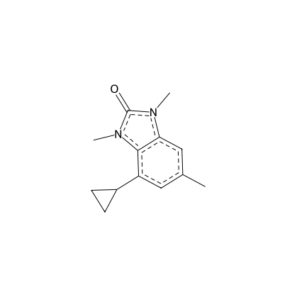 Cc1cc(C2CC2)c2c(c1)n(C)c(=O)n2C